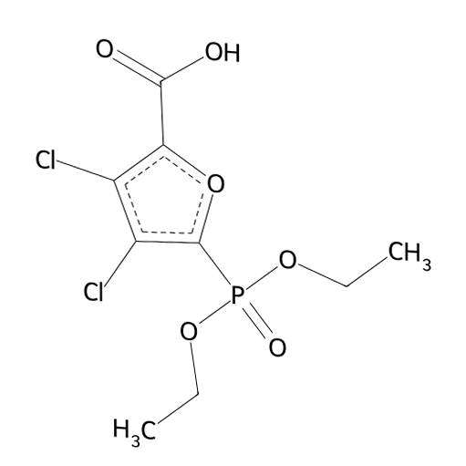 CCOP(=O)(OCC)c1oc(C(=O)O)c(Cl)c1Cl